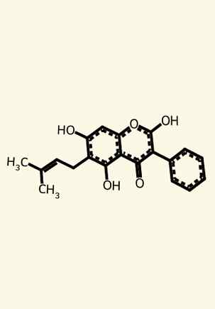 CC(C)=CCc1c(O)cc2oc(O)c(-c3ccccc3)c(=O)c2c1O